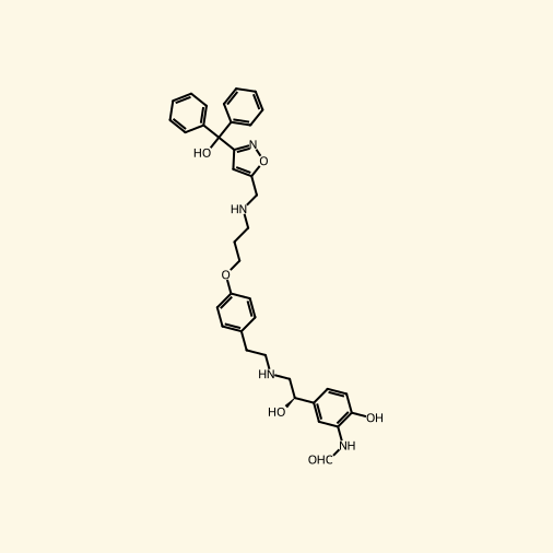 O=CNc1cc([C@@H](O)CNCCc2ccc(OCCCNCc3cc(C(O)(c4ccccc4)c4ccccc4)no3)cc2)ccc1O